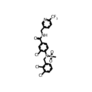 CS(=O)(=O)N(Cc1cccc(Cl)c1Cl)c1ccc(C(=O)NCc2ccc(C(F)(F)F)nc2)cc1Cl